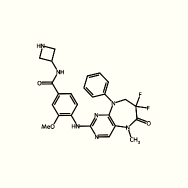 COc1cc(C(=O)NC2CNC2)ccc1Nc1ncc2c(n1)N(c1ccccc1)CC(F)(F)C(=O)N2C